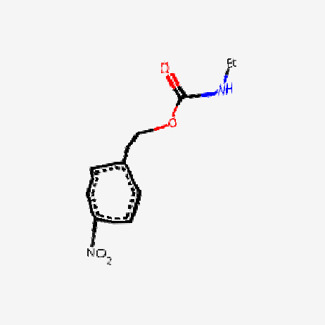 [CH2]CNC(=O)OCc1ccc([N+](=O)[O-])cc1